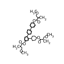 C=C(COC)C(=O)Oc1ccc(-c2ccc(-c3ccc(OC(=O)C(=C)COC)cc3C3CCC(OC(=O)C(=C)COC)CC3)cc2)cc1